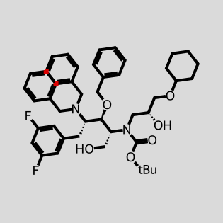 CC(C)(C)OC(=O)N(C[C@@H](O)COC1CCCCC1)[C@H](CO)[C@H](OCc1ccccc1)[C@H](Cc1cc(F)cc(F)c1)N(Cc1ccccc1)Cc1ccccc1